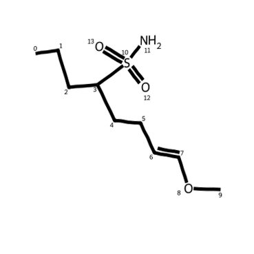 CCCC(CCC=COC)S(N)(=O)=O